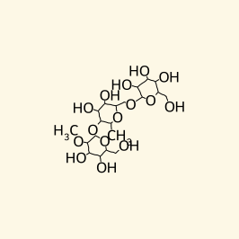 COC1C(OC2C(C)OC(COC3OC(CO)C(O)C(O)C3O)C(O)C2O)OC(CO)C(O)C1O